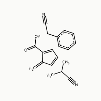 C=C1C=CC=C1C(=O)O.CC(C)C#N.N#CCc1ccccc1